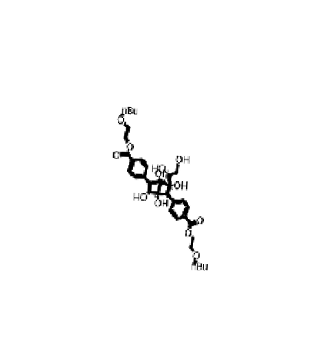 CCCCOCCOC(=O)c1ccc(C2C(O)[C@@]3(O)C(c4ccc(C(=O)OCCOCCCC)cc4)[C@@](O)([C@H](O)CO)[C@@]23O)cc1